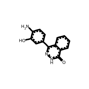 Nc1ccc(-c2n[nH]c(=O)c3ccccc23)cc1O